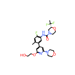 Cc1cc(F)c(NC(=O)N2CCO[C@@H](C(C)(F)F)C2)cc1-c1cc(OCCO)nc(N2CCOCC2)c1